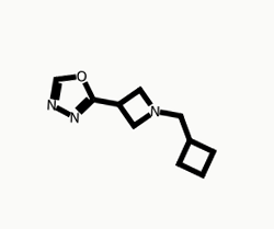 c1nnc(C2CN(CC3CCC3)C2)o1